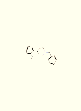 CCc1ccccc1C1CCN(Cc2ccccc2)CC1